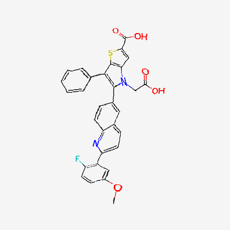 COc1ccc(F)c(-c2ccc3cc(-c4c(-c5ccccc5)c5sc(C(=O)O)cc5n4CC(=O)O)ccc3n2)c1